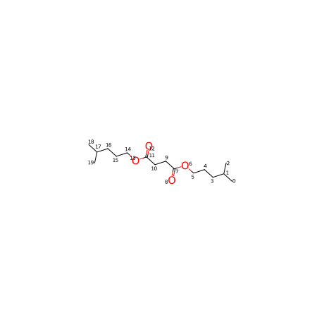 CC(C)CCCOC(=O)CCC(=O)OCCCC(C)C